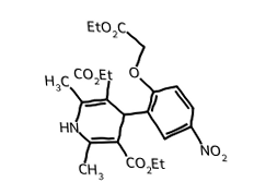 CCOC(=O)COc1ccc([N+](=O)[O-])cc1C1C(C(=O)OCC)=C(C)NC(C)=C1C(=O)OCC